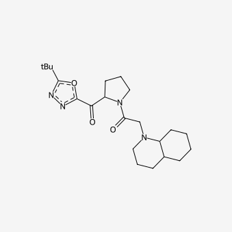 CC(C)(C)c1nnc(C(=O)C2CCCN2C(=O)CN2CCCC3CCCCC32)o1